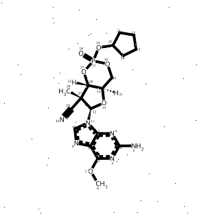 COc1nc(N)nc2c1ncn2[C@@H]1O[C@@H]2COP(=O)(OC3CCCC3)O[C@H]2[C@@]1(C)C#N